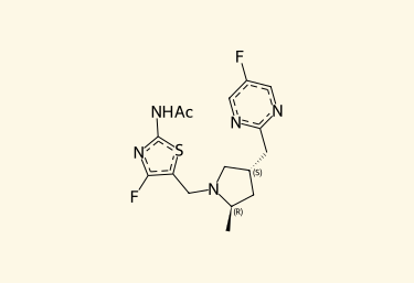 CC(=O)Nc1nc(F)c(CN2C[C@H](Cc3ncc(F)cn3)C[C@H]2C)s1